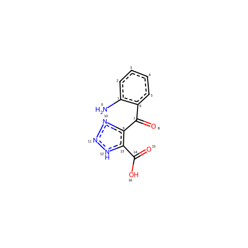 Nc1ccccc1C(=O)c1nn[nH]c1C(=O)O